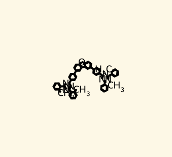 Cc1ccccc1-c1nc(-c2ccc(-c3ccc4oc5ccc(-c6ccc(-c7nc(-c8ccccc8C)nc(-c8ccccc8C)n7)cc6)cc5c4c3)cc2)nc(-c2ccccc2C)n1